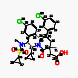 CN(C[C@@H](C1CC1)N1C(=O)C(C)(CC(=O)O)C[C@H](c2cccc(Cl)c2)[C@H]1c1ccc(Cl)cc1)S(=O)(=O)C1CC1